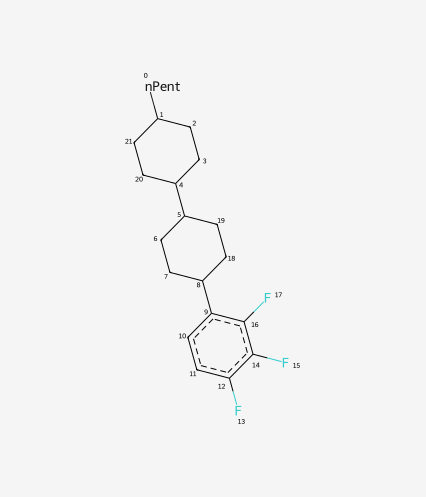 CCCCCC1CCC(C2CCC(c3ccc(F)c(F)c3F)CC2)CC1